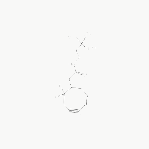 CNC(C)(C)CCNC(=O)CC1CCCC#CCC1(F)F